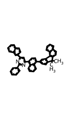 CC1(C)c2ccc(-c3ccc(-c4cc(-c5ccc6ccccc6c5)nc(-c5ccccc5)n4)c4ccccc34)cc2-c2c1ccc1ccccc21